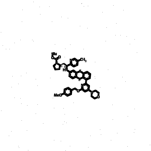 COc1ccc(COc2cc(N3CCOCC3)cc(-c3cccc4c3Sc3ccc(N[C@@H](C[C@@H]5CCCN5C(=O)OC(C)(C)C)c5ccc(C)cn5)cc3S4)n2)cc1